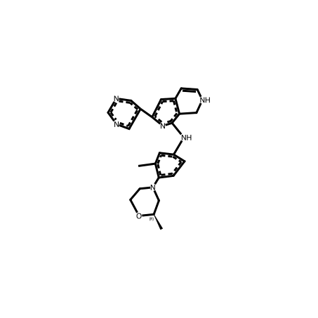 Cc1cc(Nc2nc(-c3cncnc3)cc3c2CNC=C3)ccc1N1CCO[C@H](C)C1